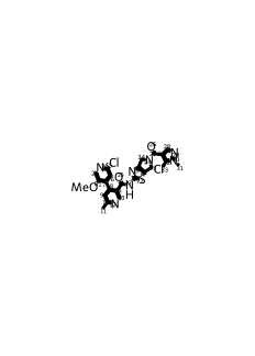 COc1cnc(Cl)cc1-c1cc(C)ncc1C(=O)Nc1nc2c(s1)CN(C(=O)c1cnn(C)c1Cl)C2